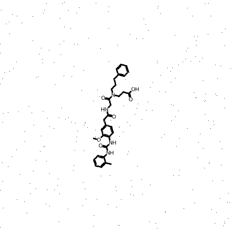 COc1cc(CC(=O)NCC(=O)N(CCCc2ccccc2)CCC(=O)O)ccc1NC(=O)Nc1ccccc1C